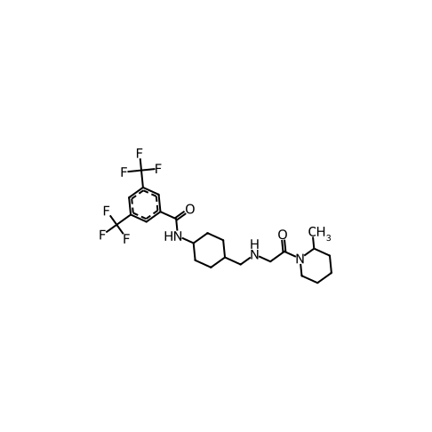 CC1CCCCN1C(=O)CNCC1CCC(NC(=O)c2cc(C(F)(F)F)cc(C(F)(F)F)c2)CC1